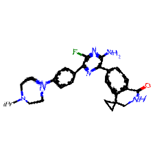 CC(C)N1CCN(c2ccc(-c3nc(-c4ccc5c(c4)C4(CC4)CNC5=O)c(N)nc3F)cc2)CC1